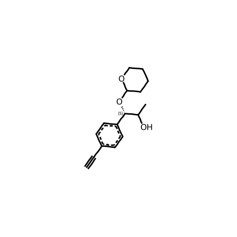 C#Cc1ccc([C@H](OC2CCCCO2)C(C)O)cc1